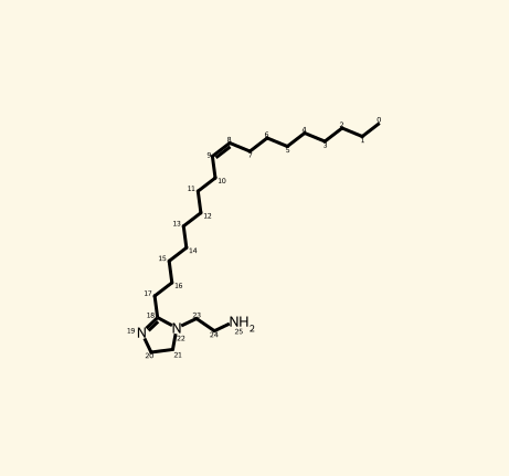 CCCCCCCC/C=C\CCCCCCCCC1=NCCN1CCN